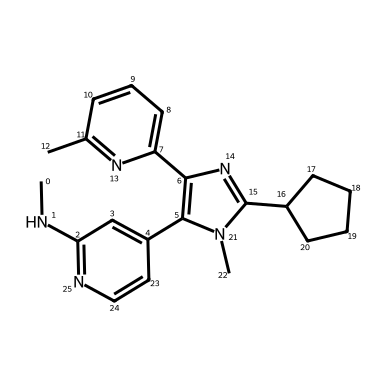 CNc1cc(-c2c(-c3cccc(C)n3)nc(C3CCCC3)n2C)ccn1